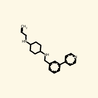 C=CCNC1CCC(NCc2cccc(-c3ccncc3)c2)CC1